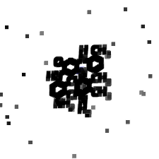 Cc1ccccc1NC1=CC(=O)C(Nc2ccc(N)c(C)c2C)=C/C1=N\c1ccc(N)c(C)c1C